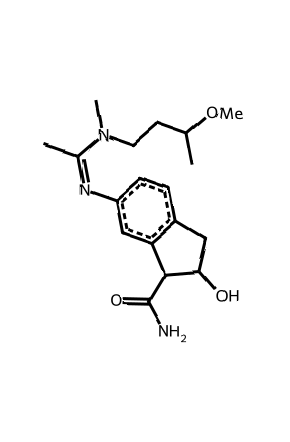 COC(C)CCN(C)C(C)=Nc1ccc2c(c1)C(C(N)=O)C(O)C2